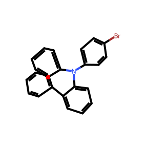 Brc1ccc(N(c2ccccc2)c2ccccc2-c2ccccc2)cc1